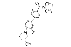 CN(C)C(=O)c1ccc(-c2ccc(N3CCCC(O)C3)c(F)c2)cn1